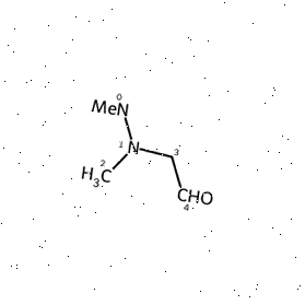 CNN(C)CC=O